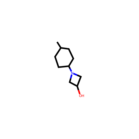 CC1CCC(N2CC(O)C2)CC1